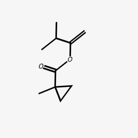 C=C(OC(=O)C1(C)CC1)C(C)C